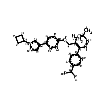 C=C(C)/N=N\C(=C(/C)COc1ccc(-c2cnn(C3CCC3)c2)nn1)c1ccc(C(F)F)cn1